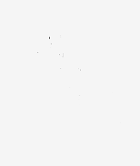 CCCCOc1c(C(=O)N[C@H](C)C(F)(F)F)[nH]cc(C(=O)OC)c1=O